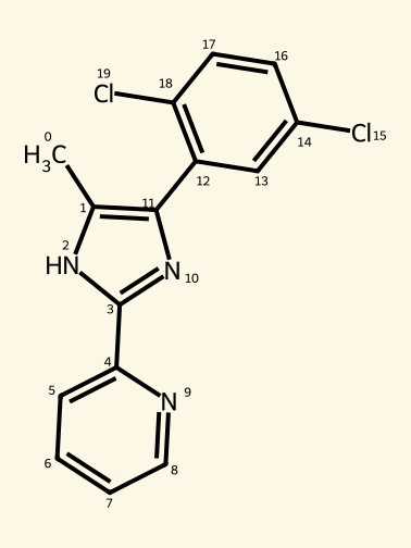 Cc1[nH]c(-c2ccccn2)nc1-c1cc(Cl)ccc1Cl